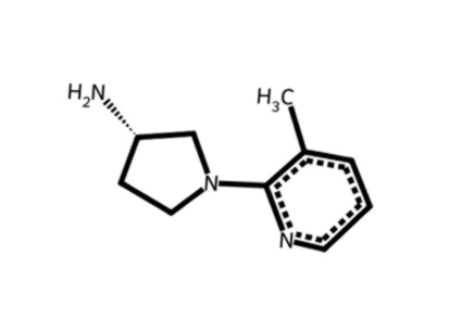 Cc1cccnc1N1CC[C@H](N)C1